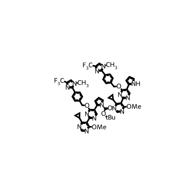 COc1ncnc(C2CC2)c1-c1ncc(-c2ccc[nH]2)c(OCc2ccc(-c3nc(C(F)(F)F)cn3C)cc2)n1.COc1ncnc(C2CC2)c1-c1ncc(-c2cccn2C(=O)OC(C)(C)C)c(OCc2ccc(-c3nc(C(F)(F)F)cn3C)cc2)n1